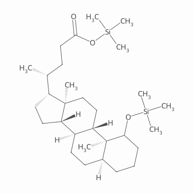 C[C@H](CCC(=O)O[Si](C)(C)C)[C@H]1CC[C@H]2[C@@H]3CC[C@@H]4CCCC(O[Si](C)(C)C)[C@]4(C)[C@H]3CC[C@]12C